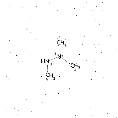 CN[N+](C)C